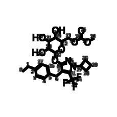 CCc1ccc(Cc2c(OC3OC(COC(=O)OC)C(O)C(O)C3O)nn(C3CCC3)c2C(F)(F)F)cc1